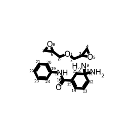 C(OCC1CO1)C1CO1.NC1(N)C=CC=C(C(=O)Nc2ccccc2)C1